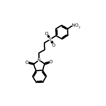 O=C1c2ccccc2C(=O)N1CCCS(=O)(=O)c1ccc([N+](=O)[O-])cc1